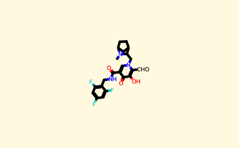 CN1C2CCC(C2)C1Cn1cc(C(=O)NCc2c(F)cc(F)cc2F)c(=O)c(O)c1C=O